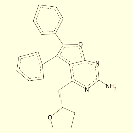 Nc1nc(C[C@@H]2CCCO2)c2c(-c3ccccc3)c(-c3ccccc3)oc2n1